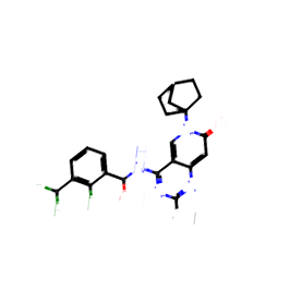 Cc1nc(NC(O)c2cccc(C(F)F)c2F)c2cn(C34CCC(CC3)C4)c(=O)cc2n1